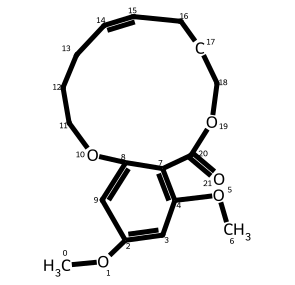 COc1cc(OC)c2c(c1)OCCC/C=C\CCCOC2=O